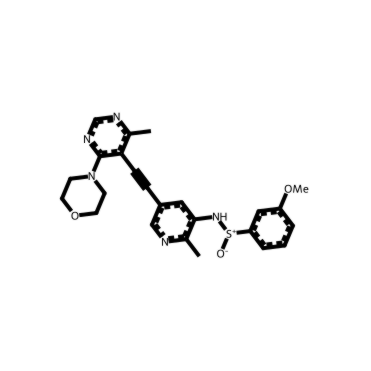 COc1cccc([S+]([O-])Nc2cc(C#Cc3c(C)ncnc3N3CCOCC3)cnc2C)c1